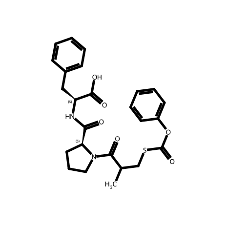 CC(CSC(=O)Oc1ccccc1)C(=O)N1CCC[C@H]1C(=O)N[C@@H](Cc1ccccc1)C(=O)O